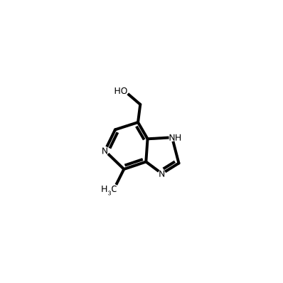 Cc1ncc(CO)c2[nH]cnc12